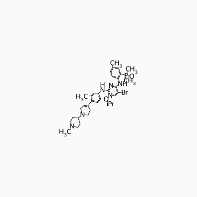 Cc1ccc(Nc2nc(Nc3cc(C)c(C4=CCN(C5CCN(C)CC5)CC4)cc3OC(C)C)ncc2Br)c(P(C)(C)=O)c1